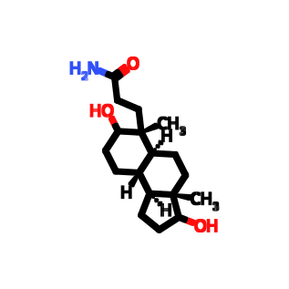 C[C@]1(CCC(N)=O)C(O)CC[C@@H]2[C@@H]1CC[C@]1(C)C(O)CC[C@@H]21